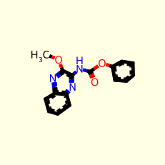 COc1nc2ccccc2nc1NC(=O)Oc1ccccc1